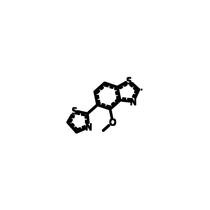 COc1c(-c2nccs2)ccc2s[c]nc12